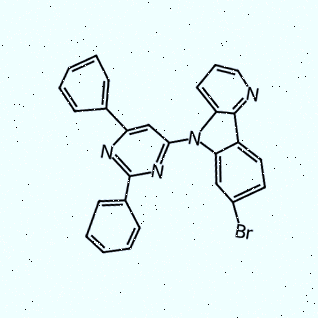 Brc1ccc2c3ncccc3n(-c3cc(-c4ccccc4)nc(-c4ccccc4)n3)c2c1